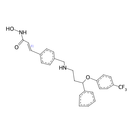 O=C(/C=C/c1ccc(CNCCC(Oc2ccc(C(F)(F)F)cc2)c2ccccc2)cc1)NO